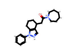 O=C(CC1CCCc2c1cnn2-c1ccccc1)N1CCCCCC1